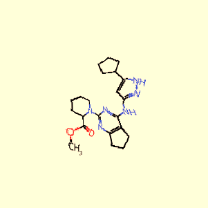 COC(=O)C1CCCCN1c1nc2c(c(Nc3cc(C4CCCC4)[nH]n3)n1)CCC2